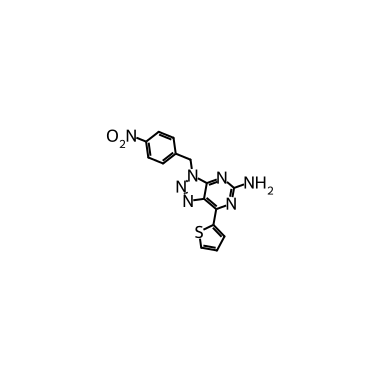 Nc1nc(-c2cccs2)c2nnn(Cc3ccc([N+](=O)[O-])cc3)c2n1